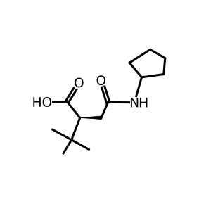 CC(C)(C)[C@H](CC(=O)NC1CCCC1)C(=O)O